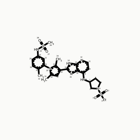 CCS(=O)(=O)N1CCC(Nc2ccnc3[nH]c(-c4cc(C)n(-c5cc(NS(C)(=O)=O)ccc5C)c4C)nc23)C1